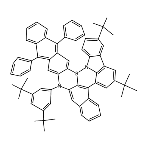 CC(C)(C)c1cc(N2c3cc4c(-c5ccccc5)c5ccccc5c(-c5ccccc5)c4cc3B3c4c2cc2ccccc2c4-c2cc(C(C)(C)C)cc4c5cc(C(C)(C)C)ccc5n3c24)cc(C(C)(C)C)c1